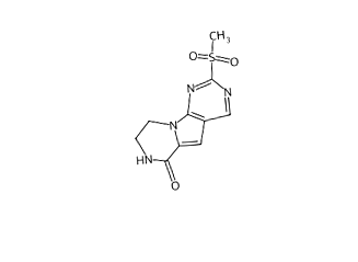 CS(=O)(=O)c1ncc2cc3n(c2n1)CCNC3=O